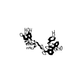 CC(C)(C)OC(=O)N(CCCCNC(=O)c1cccc(C(OC=O)(C(=O)OCC2CCNCC2)c2ccccc2)c1)C[C@H](O[Si](C)(C)C(C)(C)C)c1ccc(O)c2[nH]c(=O)ccc12